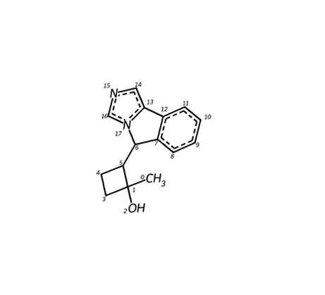 CC1(O)CCC1C1c2ccccc2-c2cncn21